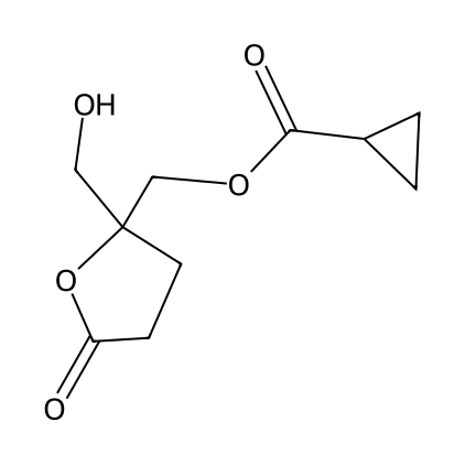 O=C1CCC(CO)(COC(=O)C2CC2)O1